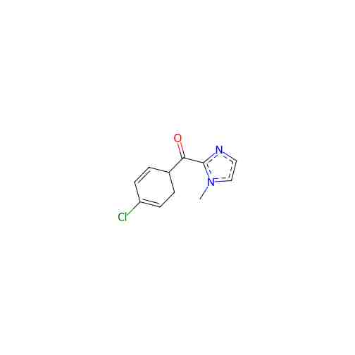 Cn1ccnc1C(=O)C1C=CC(Cl)=CC1